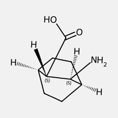 N[C@H]1[C@H]2CC[C@H](CC2)[C@@H]1C(=O)O